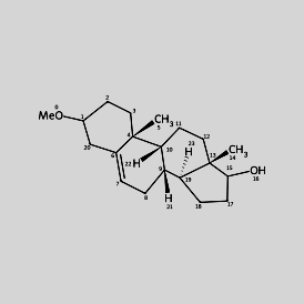 COC1CC[C@@]2(C)C(=CC[C@@H]3[C@H]2CC[C@]2(C)C(O)CC[C@@H]32)C1